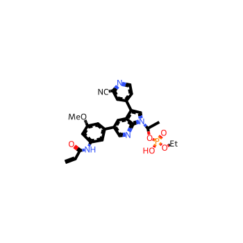 C=CC(=O)Nc1cc(OC)cc(-c2cnc3c(c2)c(-c2ccnc(C#N)c2)cn3C(C)OP(=O)(O)OCC)c1